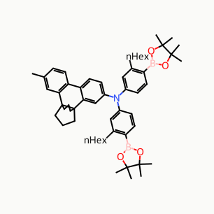 CCCCCCc1cc(N(c2ccc(B3OC(C)(C)C(C)(C)O3)c(CCCCCC)c2)c2ccc3c(c2)C24CCCC2(CCC4)c2cc(C)ccc2-3)ccc1B1OC(C)(C)C(C)(C)O1